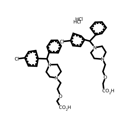 Cl.Cl.O=C(O)COCCN1CCN(C(c2ccccc2)c2ccc(Cl)cc2)CC1.O=C(O)COCCN1CCN(C(c2ccccc2)c2ccc(Cl)cc2)CC1